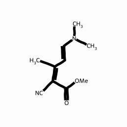 COC(=O)C(C#N)=C(C)C=CN(C)C